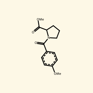 COC(=O)C1CCCN1C(=O)c1ccc(OC)cc1